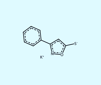 [K+].[S-]c1cc(-c2ccccc2)no1